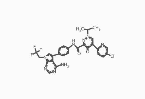 CC(C)n1cc(-c2ccc(Cl)cn2)c(=O)c(C(=O)Nc2ccc(-c3cn(CC(F)(F)F)c4ncnc(N)c34)cc2)n1